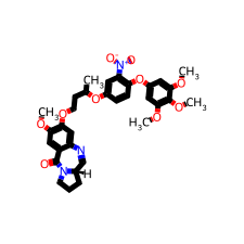 COc1cc2c(cc1OCCC(C)Oc1ccc(Oc3cc(OC)c(OC)c(OC)c3)c([N+](=O)[O-])c1)N=C[C@@H]1CCCN1C2=O